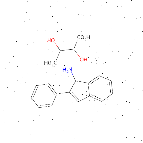 NC1C(c2ccccc2)=Cc2ccccc21.O=C(O)C(O)C(O)C(=O)O